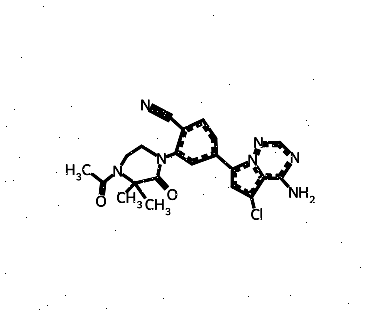 CC(=O)N1CCN(c2cc(-c3cc(Cl)c4c(N)ncnn34)ccc2C#N)C(=O)C1(C)C